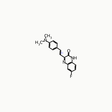 CN(C)c1ccc(/C=C/c2nc3cc(F)ccc3[nH]c2=O)cc1